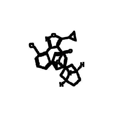 O=C(O[C@H]1C[C@H]2CC[C@@H](C1)N2c1ccccc1)c1c(-c2c(Cl)cccc2Cl)noc1C1CC1